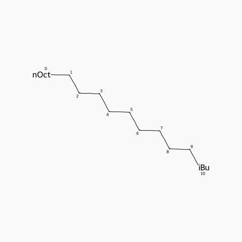 CCCCCCCCCCCCCCCCCC(C)CC